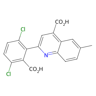 Cc1ccc2nc(-c3c(Cl)ccc(Cl)c3C(=O)O)cc(C(=O)O)c2c1